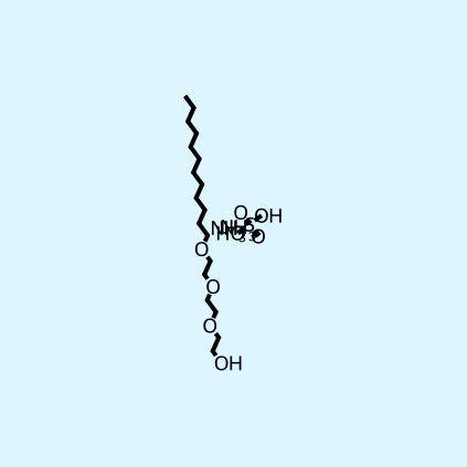 CCCCCCCCCCCCOCCOCCOCCO.N.N.O=S(=O)(O)O